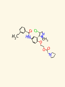 Cc1cccc(C(=O)Nc2ccc(OCCOC(=O)CN3CCCC3)c(-c3c(Cl)cnn3C)c2)c1